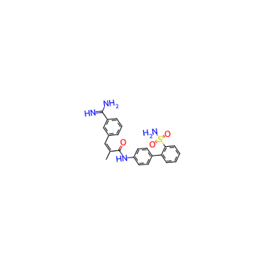 C/C(=C/c1cccc(C(=N)N)c1)C(=O)Nc1ccc(-c2ccccc2S(N)(=O)=O)cc1